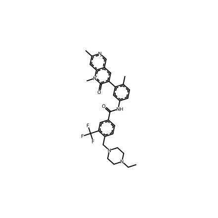 CCN1CCN(Cc2ccc(C(=O)Nc3ccc(C)c(-c4cc5cnc(C)cc5n(C)c4=O)c3)cc2C(F)(F)F)CC1